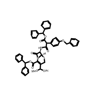 COC(OC(C)=O)C1=C(C(=O)OC(c2ccccc2)c2ccccc2)N2C(=O)[C@@H](NC(=O)C(C(=O)OC(c3ccccc3)c3ccccc3)c3ccc(OCc4ccccc4)cc3)[C@H]2SC1